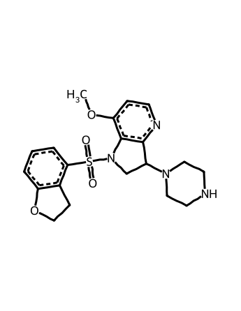 COc1ccnc2c1N(S(=O)(=O)c1cccc3c1CCO3)CC2N1CCNCC1